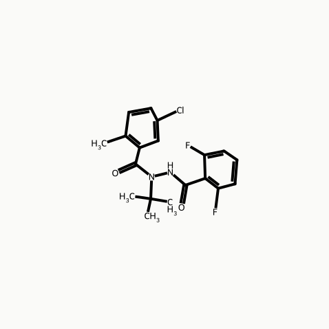 Cc1ccc(Cl)cc1C(=O)N(NC(=O)c1c(F)cccc1F)C(C)(C)C